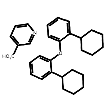 O=C(O)c1cccnc1.c1ccc(C2CCCCC2)c(Oc2ccccc2C2CCCCC2)c1